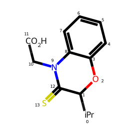 CC(C)C1Oc2ccccc2N(CC(=O)O)C1=S